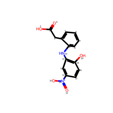 O=C(O)Cc1ccccc1Nc1cc([N+](=O)[O-])ccc1O